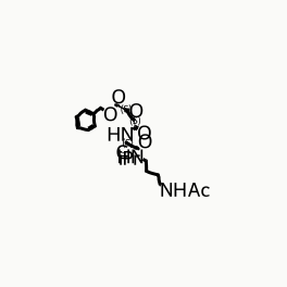 CC(=O)NCCCCNC(=O)[C@H](CC(C)C)NC(=O)[C@H]1O[C@@H]1C(=O)OCc1ccccc1